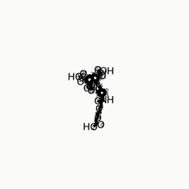 O=C(O)COCCOCC(=O)Nc1ccc(CNc2cc(S(=O)(=O)O)cc3cc(S(=O)(=O)O)cc(S(=O)(=O)O)c23)cc1